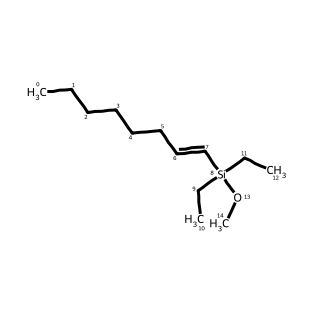 CCCCCCC=C[Si](CC)(CC)OC